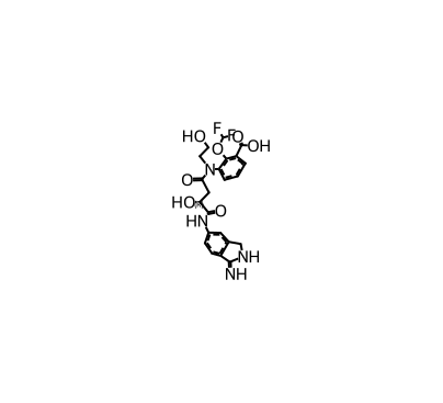 N=C1NCc2cc(NC(=O)[C@H](O)CC(=O)N(CCO)c3cccc(C(=O)O)c3OC(F)F)ccc21